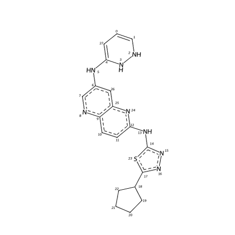 C1=CNNC(Nc2cnc3ccc(Nc4nnc(C5CCCC5)s4)nc3c2)=C1